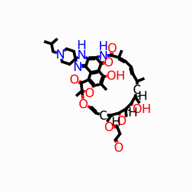 C/C1=C/C=C/C(C)C[C@@H](C)C(O)[C@@H](C)C(OC(=O)CC=O)[C@H](C)C/C=C/OC2(C)Oc3c(C)c(O)c4c(c3C2=O)C2=NC3(CCN(CC(C)C)CC3)NC2=C(NC1=O)C4=O